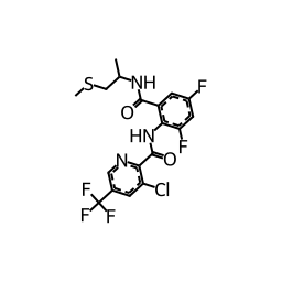 CSCC(C)NC(=O)c1cc(F)cc(F)c1NC(=O)c1ncc(C(F)(F)F)cc1Cl